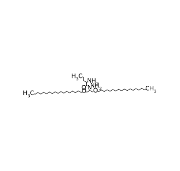 CCCCCCCCCCCCCCCCCCOCC(COCCCCCCCCCCCCCCCCCC)N(N)C(=O)C(N)CCC